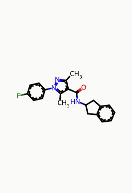 Cc1nn(-c2ccc(F)cc2)c(C)c1C(=O)NC1Cc2ccccc2C1